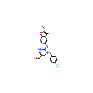 CCc1oc2ccc(/N=C3\NC=C(C=O)CN3Cc3ccc(Cl)cc3)cc2c1C